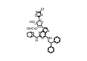 CCc1noc([C@H]2O[C@@H](n3cnc4c(NCC(c5ccccc5)c5ccccc5)nc(NC5CC6CCC5C6)nc43)[C@H](OC=O)[C@@H]2O)n1